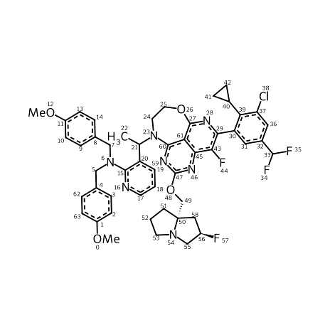 COc1ccc(CN(Cc2ccc(OC)cc2)c2ncccc2C(C)N2CCOc3nc(-c4cc(C(F)F)cc(Cl)c4C4CC4)c(F)c4nc(OC[C@@]56CCCN5C[C@H](F)C6)nc2c34)cc1